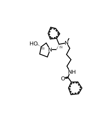 CN(CCCCNC(=O)c1ccccc1)[C@H](CN1CC[C@H](O)C1)c1ccccc1